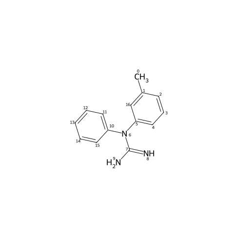 Cc1cccc(N(C(=N)N)c2ccccc2)c1